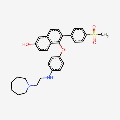 CS(=O)(=O)c1ccc(-c2ccc3cc(O)ccc3c2Oc2ccc(NCCN3CCCCCC3)cc2)cc1